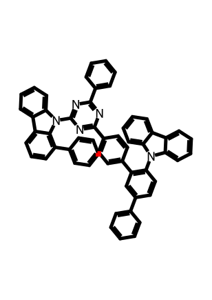 c1ccc(-c2ccc(-n3c4ccccc4c4ccccc43)c(-c3ccc(-c4nc(-c5ccccc5)nc(-n5c6ccccc6c6cccc(-c7ccccc7)c65)n4)cc3)c2)cc1